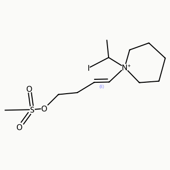 CC(I)[N+]1(/C=C/CCOS(C)(=O)=O)CCCCC1